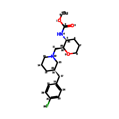 CC(C)(C)OC(=O)N[C@@H]1CCCO[C@H]1CN1CCC[C@@H](Cc2ccc(F)cc2)C1